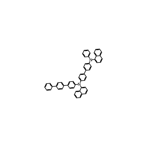 c1ccc(-c2ccc(-c3ccc(N(c4ccc(-c5ccc(N(c6ccccc6)c6cccc7ccccc67)cc5)cc4)c4cccc5ccccc45)cc3)cc2)cc1